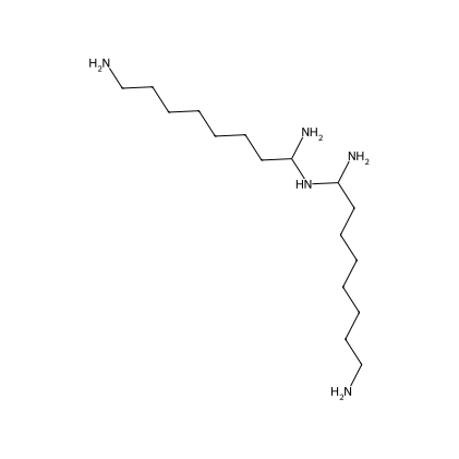 NCCCCCCCC(N)NC(N)CCCCCCCN